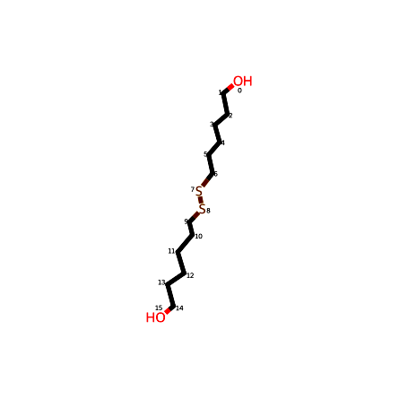 OCCCCCCSSCCCCCCO